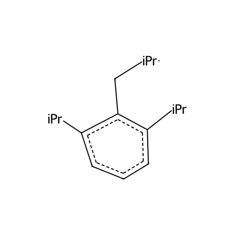 C[C](C)Cc1c(C(C)C)cccc1C(C)C